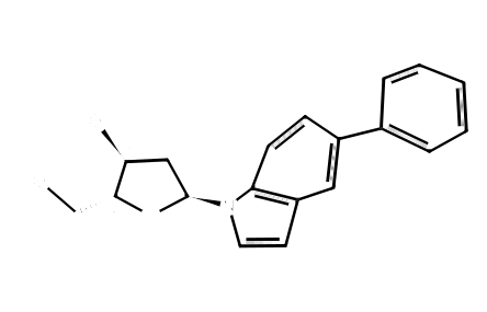 OC[C@H]1O[C@H](n2ccc3cc(-c4ccccc4)ccc32)C[C@@H]1O